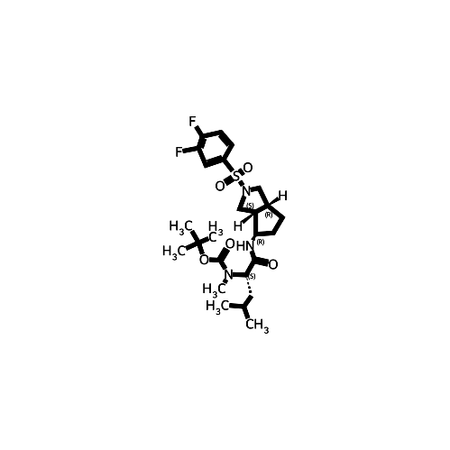 CC(C)C[C@@H](C(=O)N[C@@H]1CC[C@H]2CN(S(=O)(=O)c3ccc(F)c(F)c3)C[C@H]21)N(C)C(=O)OC(C)(C)C